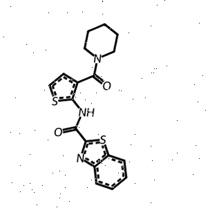 O=C(Nc1sccc1C(=O)N1CCCCC1)c1nc2ccccc2s1